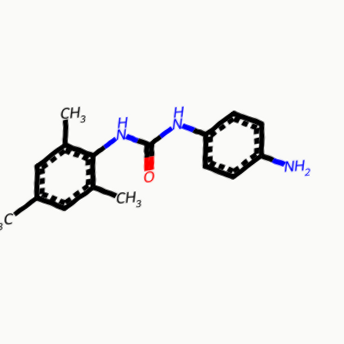 Cc1cc(C)c(NC(=O)Nc2ccc(N)cc2)c(C)c1